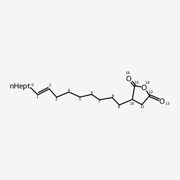 CCCCCCCC=CCCCCCCCC1CC(=O)OC1=O